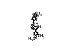 COc1ccc(C2=CNC3C(NCc4ccc(S(C)(=O)=O)cc4)=NC=CN23)cc1C